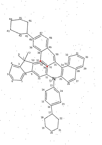 CC1(C)c2ccccc2-c2cc(N(c3ccc(C4CCCCC4)cc3)c3ccc4ccccc4c3-c3ccc4cc(C5CCCCC5)ccc4c3)ccc21